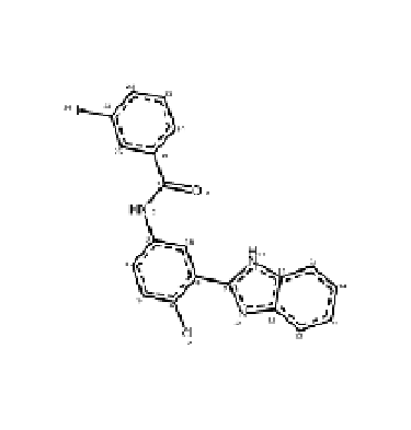 O=C(Nc1ccc(Cl)c(-c2nc3ccccc3[nH]2)c1)c1cccc(I)c1